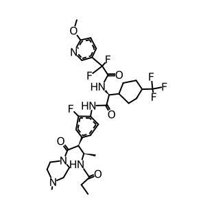 CCC(=O)N[C@H](C)[C@@H](C(=O)N1CCN(C)CC1)c1ccc(NC(=O)[C@@H](NC(=O)C(F)(F)c2ccc(OC)nc2)C2CCC(C(F)(F)F)CC2)c(F)c1